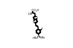 [C-]#[N+]/C(=C\c1cc2sc(/C=C/c3ccc(N(CCCC)CCCC)cc3F)cc2s1)C(=O)O